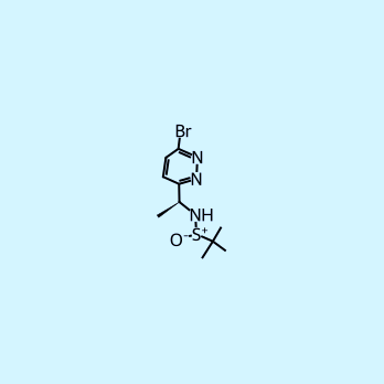 C[C@H](N[S+]([O-])C(C)(C)C)c1ccc(Br)nn1